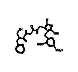 CCCCc1nc(Cl)c(CNC(=O)CNC(=O)C(CS)Cc2ccccc2)n1Cc1ccc(C(=O)O)cc1OC